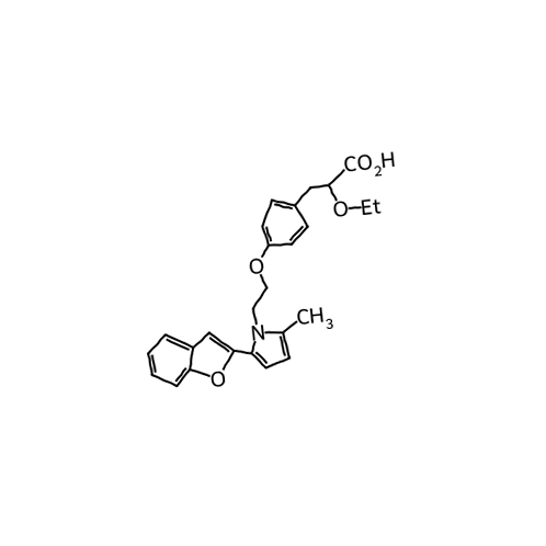 CCOC(Cc1ccc(OCCn2c(C)ccc2-c2cc3ccccc3o2)cc1)C(=O)O